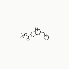 CC(C)(C)OC(=O)N1Cc2cc(CN3CCCC3)cnc2C1